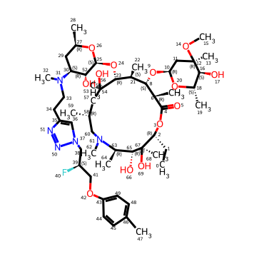 CC[C@H]1OC(=O)[C@H](C)[C@@H](O[C@H]2C[C@@](C)(OC)[C@@H](O)[C@H](C)O2)[C@H](C)[C@@H](O[C@@H]2O[C@H](C)C[C@H](N(C)CCc3cn(C[C@H](F)COc4ccc(C)cc4)nn3)[C@H]2O)[C@](C)(O)C[C@@H](C)CN(C)[C@H](C)[C@@H](O)[C@]1(C)O